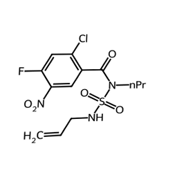 C=CCNS(=O)(=O)N(CCC)C(=O)c1cc([N+](=O)[O-])c(F)cc1Cl